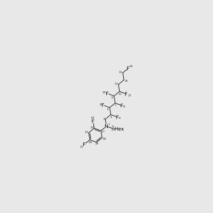 CCCCCCN(CC(F)C(F)C(F)C(F)C(F)CCCF)c1ccc(F)cc1F